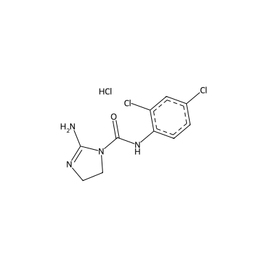 Cl.NC1=NCCN1C(=O)Nc1ccc(Cl)cc1Cl